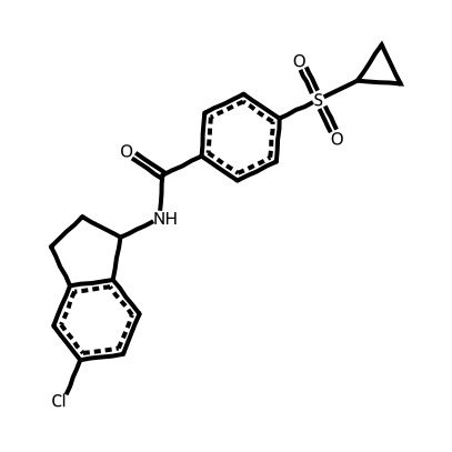 O=C(NC1CCc2cc(Cl)ccc21)c1ccc(S(=O)(=O)C2CC2)cc1